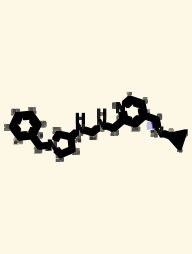 C(=N\C1CC1)/c1ccnc(CNCNC2CCN(Cc3ccccc3)C2)c1